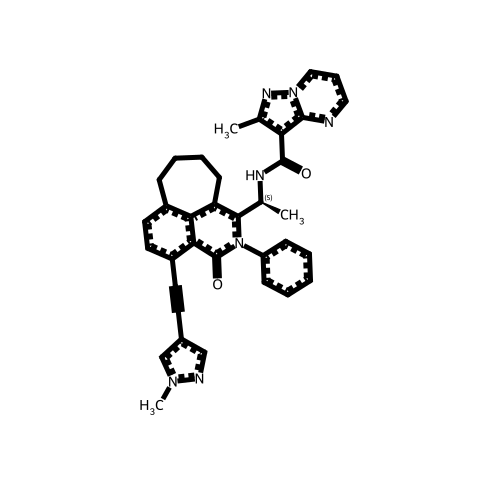 Cc1nn2cccnc2c1C(=O)N[C@@H](C)c1c2c3c(ccc(C#Cc4cnn(C)c4)c3c(=O)n1-c1ccccc1)CCCC2